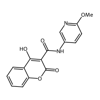 COc1ccc(NC(=O)c2c(O)c3ccccc3oc2=O)cn1